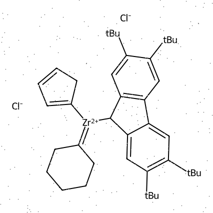 CC(C)(C)c1cc2c(cc1C(C)(C)C)[CH]([Zr+2]([C]1=CC=CC1)=[C]1CCCCC1)c1cc(C(C)(C)C)c(C(C)(C)C)cc1-2.[Cl-].[Cl-]